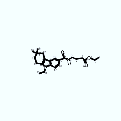 CCOC(=O)CCCNC(=O)c1ccc2c(c1)c1c(n2CC)CCC(C)(C)C1